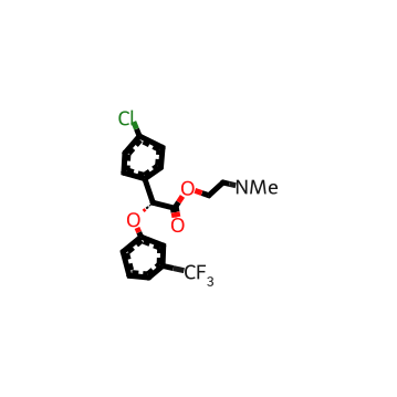 CNCCOC(=O)[C@H](Oc1cccc(C(F)(F)F)c1)c1ccc(Cl)cc1